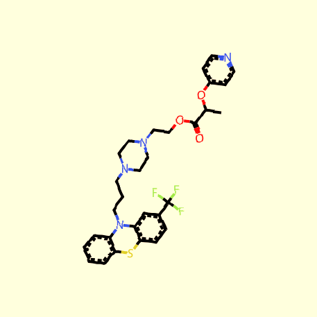 CC(Oc1ccncc1)C(=O)OCCN1CCN(CCCN2c3ccccc3Sc3ccc(C(F)(F)F)cc32)CC1